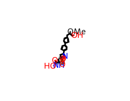 COC(CO)Cc1ccc(-c2ccc(C3=NO[C@@H](C[C@](C)(C(=O)NO)S(C)(=O)=O)C3)cc2)cc1